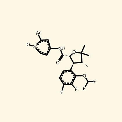 CC(=O)c1cc(NC(=O)[C@@H]2OC(C)(C)[C@H](C)[C@H]2c2ccc(F)c(F)c2OC(F)F)cc[n+]1[O-]